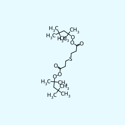 CC(C)(C)CC(C)(C)OOC(=O)CCSCCC(=O)OOC(C)(C)CC(C)(C)C